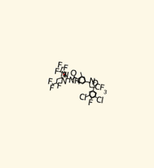 Cc1cc(C2=NOC(c3cc(Cl)c(F)c(Cl)c3)(C(F)(F)F)C2)ccc1C(=O)Nc1nc(CC(F)C(F)F)n(C(F)C(F)F)n1